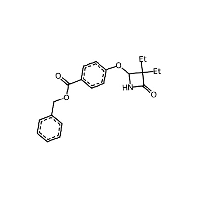 CCC1(CC)C(=O)NC1Oc1ccc(C(=O)OCc2ccccc2)cc1